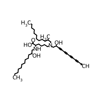 C#CC#CC#CC#CC#CC(O)CN(CCCCC(NCC(O)CCCCCCCCCC)C(=O)O)CC(C)CCCCCCCCCC